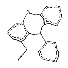 CCc1cccc2c1C(c1ccccc1)c1ccccc1O2